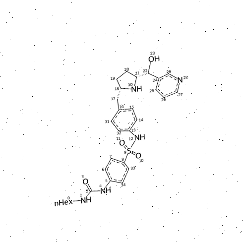 CCCCCCNC(=O)Nc1ccc(S(=O)(=O)Nc2ccc(C[C@@H]3CC[C@H](C(O)c4cccnc4)N3)cc2)cc1